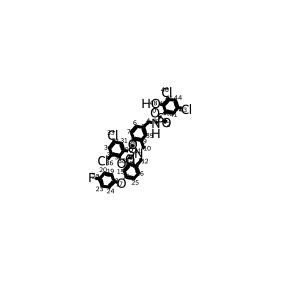 O=S(=O)(NCc1cccc(CN(Cc2ccc(Oc3ccc(F)cc3)cc2)S(=O)(=O)c2cc(Cl)cc(Cl)c2O)c1)c1cc(Cl)cc(Cl)c1O